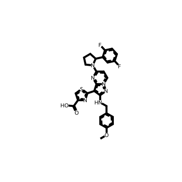 COc1ccc(CNc2nn3ccc(N4CCCC4c4cc(F)ccc4F)nc3c2-c2nc(C(=O)O)cs2)cc1